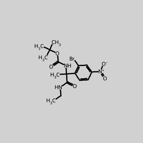 CCNC(=O)C(C)(NC(=O)OC(C)(C)C)c1ccc([N+](=O)[O-])cc1Br